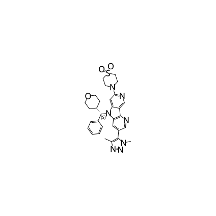 Cc1nnn(C)c1-c1cnc2c3cnc(N4CCS(=O)(=O)CC4)cc3n([C@H](c3ccccc3)C3CCOCC3)c2c1